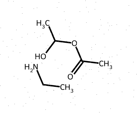 CC(=O)OC(C)O.CCN